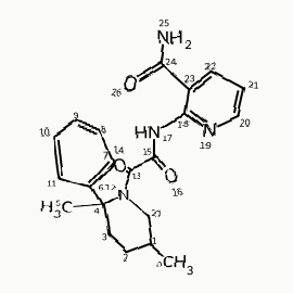 CC1CCC(C)(c2ccccc2)N(C(=O)C(=O)Nc2ncccc2C(N)=O)C1